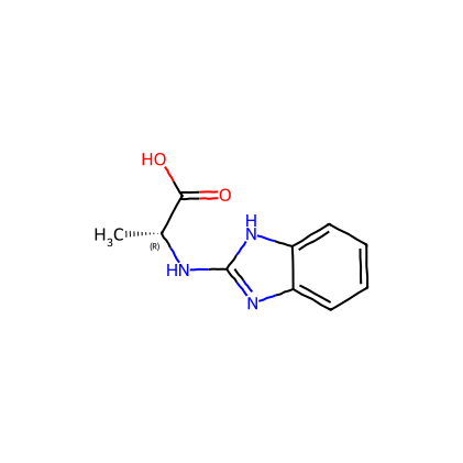 C[C@@H](Nc1nc2ccccc2[nH]1)C(=O)O